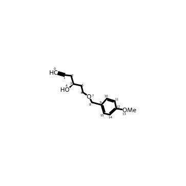 C#CC[C@H](O)CCOCc1ccc(OC)cc1